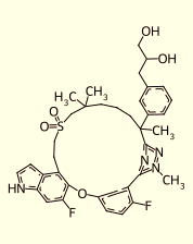 Cn1nc2nc1-c1cc(ccc1F)Oc1c(F)cc3[nH]ccc3c1CCS(=O)(=O)CC(C)(C)CCCC2(C)c1cccc(CC(O)CO)c1